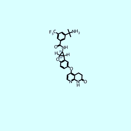 CC(C)(N)c1cc(C(=O)N[C@@H]2[C@H]3Oc4ccc(Oc5ccnc6c5CCC(=O)N6)cc4[C@@H]23)cc(C(F)(F)F)c1